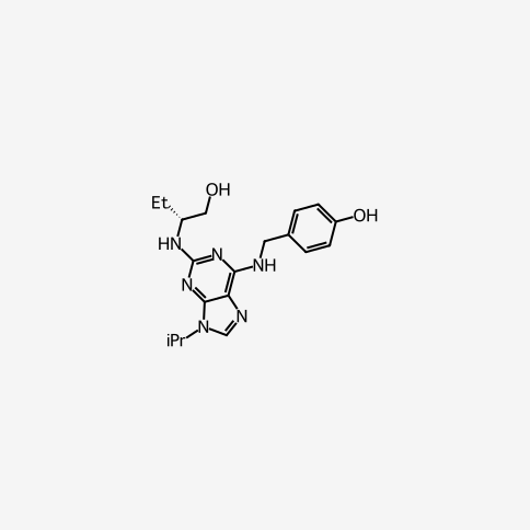 CC[C@H](CO)Nc1nc(NCc2ccc(O)cc2)c2ncn(C(C)C)c2n1